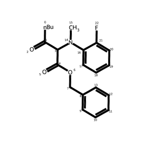 CCCCC(=O)C(C(=O)OCc1ccccc1)N(C)c1ccccc1F